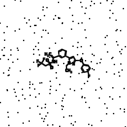 C=C(NS(=O)(=O)CC(F)(F)F)c1cccc(-c2cc(Oc3ccc(F)cc3)nn2CC)c1